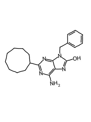 Nc1nc(C2CCCCCCCC2)nc2c1nc(O)n2Cc1ccccc1